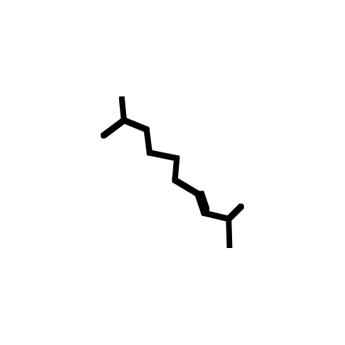 CC(C)C=CCCCCC(C)C